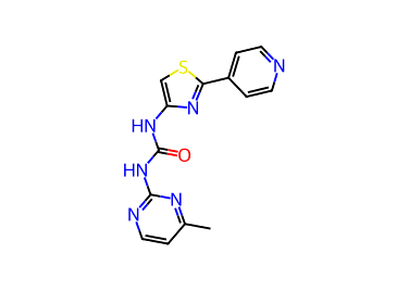 Cc1ccnc(NC(=O)Nc2csc(-c3ccncc3)n2)n1